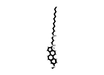 CCCCCCCCCCCCNCCCNC1CCC2C3CCc4cc(OC)ccc4C3CC[C@]12C